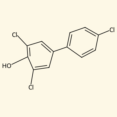 Oc1c(Cl)cc(-c2ccc(Cl)cc2)cc1Cl